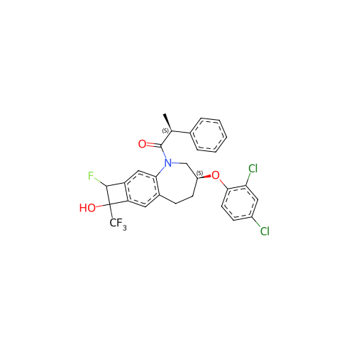 C[C@H](C(=O)N1C[C@@H](Oc2ccc(Cl)cc2Cl)CCc2cc3c(cc21)C(F)C3(O)C(F)(F)F)c1ccccc1